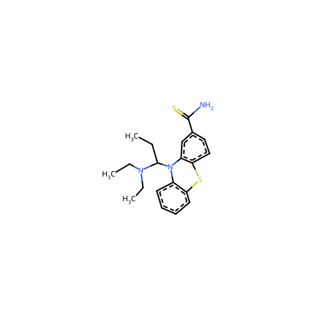 CCC(N(CC)CC)N1c2ccccc2Sc2ccc(C(N)=S)cc21